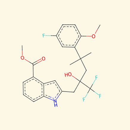 COC(=O)c1cccc2[nH]c(CC(O)(CC(C)(C)c3cc(F)ccc3OC)C(F)(F)F)cc12